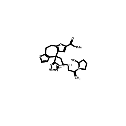 C=C(CN[C@@H](C)CC1(c2nn[nH]n2)c2ccsc2CCc2sc(C(=O)NC)cc21)N1CCCC1C#N